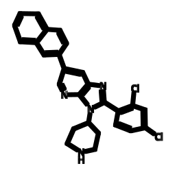 Clc1ccc(-c2nc3cc(-c4ccc5ccccc5c4)cnc3n2C2CCNCC2)c(Cl)c1